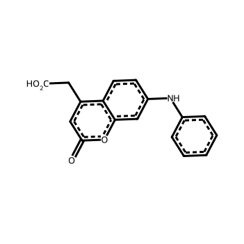 O=C(O)Cc1cc(=O)oc2cc(Nc3ccccc3)ccc12